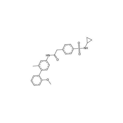 COc1ccccc1-c1ccc(NC(=O)Cc2ccc(S(=O)(=O)NC3CC3)cc2)cc1C